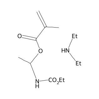 C=C(C)C(=O)OC(C)NC(=O)OCC.CCNCC